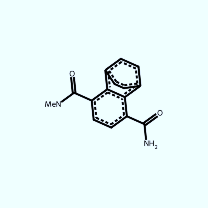 CNC(=O)c1ccc(C(N)=O)c2c3ccc(cc3)c12